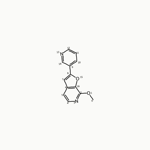 COc1nccc2cc(-c3cccnc3)oc12